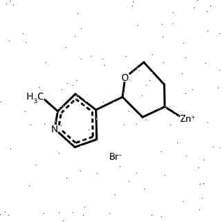 Cc1cc(C2C[CH]([Zn+])CCO2)ccn1.[Br-]